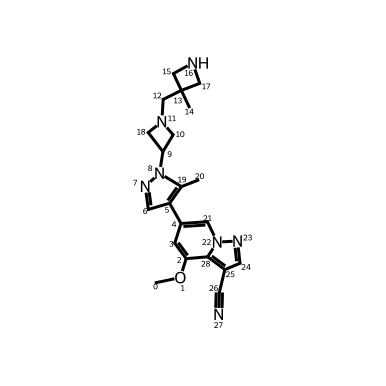 COc1cc(-c2cnn(C3CN(CC4(C)CNC4)C3)c2C)cn2ncc(C#N)c12